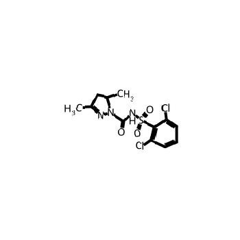 CC1=NN(C(=O)NS(=O)(=O)c2c(Cl)cccc2Cl)C(C)C1